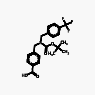 CC(C)(C)OC(=O)N(Cc1ccc(C(=O)O)cc1)Cc1ccc(C(F)(F)F)cc1